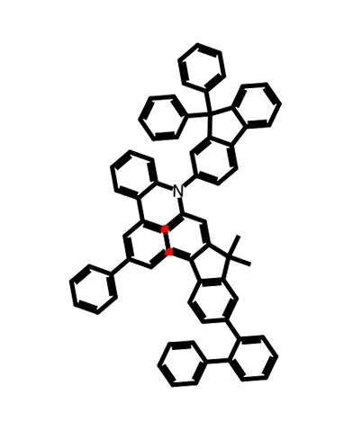 CC1(C)c2cc(-c3ccccc3-c3ccccc3)ccc2-c2ccc(N(c3ccc4c(c3)C(c3ccccc3)(c3ccccc3)c3ccccc3-4)c3ccccc3-c3cccc(-c4ccccc4)c3)cc21